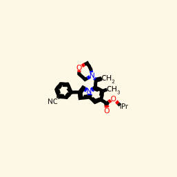 C=C(c1c(C)c(C(=O)OC(C)C)cc2cc(-c3cccc(C#N)c3)cn12)N1CCOCC1